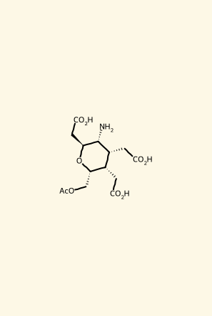 CC(=O)OC[C@@H]1O[C@@H](CC(=O)O)[C@H](N)[C@H](CC(=O)O)[C@@H]1CC(=O)O